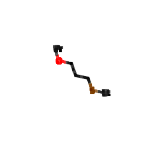 CCSCCCOC(C)C